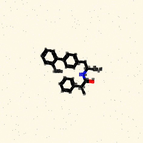 COc1ccccc1-c1ccc(C[C@H](NC(=O)[C@@H](C)c2ccccc2)C(=O)O)cc1